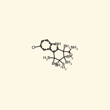 BC1(B)c2c([nH]c3ccc(Cl)cc23)C(B)(C(N)=O)C(B)(B)C1(B)B